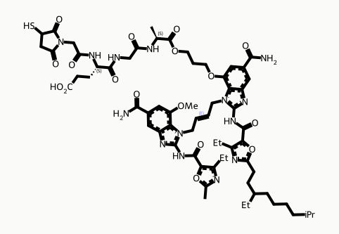 CCc1nc(C)oc1C(=O)Nc1nc2cc(C(N)=O)cc(OC)c2n1C/C=C/Cn1c(NC(=O)c2oc(CCC(CC)CCCCC(C)C)nc2CC)nc2cc(C(N)=O)cc(OCCCOC(=O)[C@H](C)NC(=O)CNC(=O)[C@H](CCC(=O)O)NC(=O)CN3C(=O)CC(S)C3=O)c21